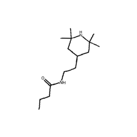 CCCC(=O)NCCC1CC(C)(C)NC(C)(C)C1